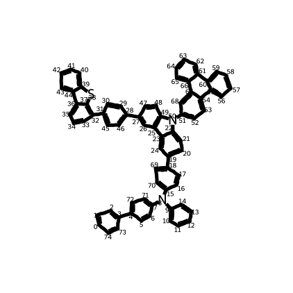 c1ccc(-c2ccc(N(c3ccccc3)c3ccc(-c4ccc5c(c4)c4cc(-c6ccc(-c7cccc8c7sc7ccccc78)cc6)ccc4n5-c4ccc5c6ccccc6c6ccccc6c5c4)cc3)cc2)cc1